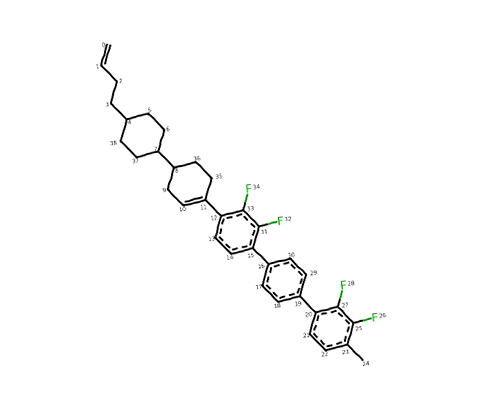 C=CCCC1CCC(C2CC=C(c3ccc(-c4ccc(-c5ccc(C)c(F)c5F)cc4)c(F)c3F)CC2)CC1